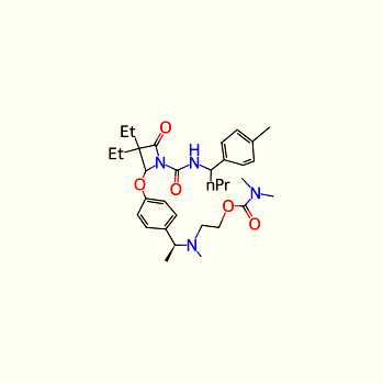 CCCC(NC(=O)N1C(=O)C(CC)(CC)C1Oc1ccc([C@H](C)N(C)CCOC(=O)N(C)C)cc1)c1ccc(C)cc1